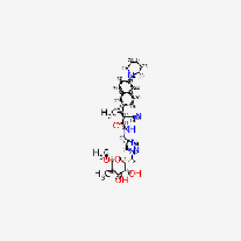 CO[C@H]1O[C@H](Cn2cc(CNC(=O)/C(C#N)=C(\C)c3ccc4cc(N5CCCCC5)ccc4c3)nn2)[C@@H](O)[C@H](O)[C@H]1C